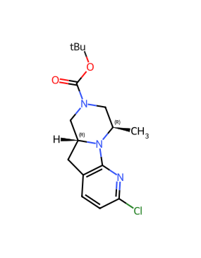 C[C@@H]1CN(C(=O)OC(C)(C)C)C[C@H]2Cc3ccc(Cl)nc3N21